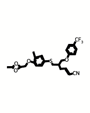 Cc1cc(SCC(C/C=C/C#N)COc2ccc(C(F)(F)F)cc2)ccc1OCC1OC(C)O1